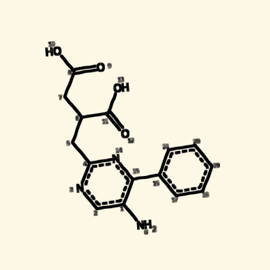 Nc1cnc(CC(CC(=O)O)C(=O)O)nc1-c1ccccc1